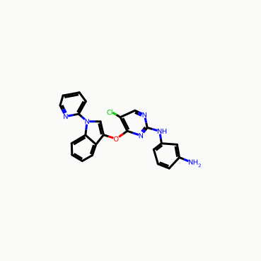 Nc1cccc(Nc2ncc(Cl)c(Oc3cn(-c4ccccn4)c4ccccc34)n2)c1